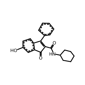 O=C(NC1CCCCC1)C1=C(c2ccccc2)c2ccc(O)cc2C1=O